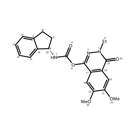 CCn1nc(OC(=O)N[C@H]2CCc3ccccc32)c2cc(OC)c(OC)cc2c1=O